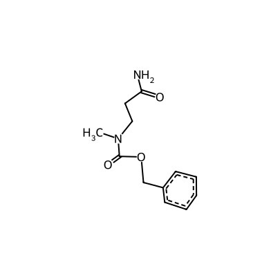 CN(CCC(N)=O)C(=O)OCc1ccccc1